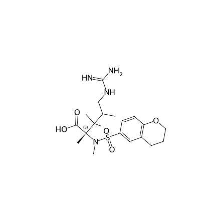 CC(CNC(=N)N)C(C)(C)[C@@](C)(C(=O)O)N(C)S(=O)(=O)c1ccc2c(c1)CCCO2